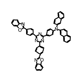 c1ccc2cc(N(c3ccc(-c4nc(-c5ccc(-c6nc7ccccc7o6)cc5)nc(-c5ccc(-c6nc7ccccc7o6)cc5)n4)cc3)c3ccc4ccccc4c3)ccc2c1